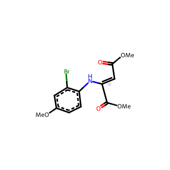 COC(=O)/C=C(\Nc1ccc(OC)cc1Br)C(=O)OC